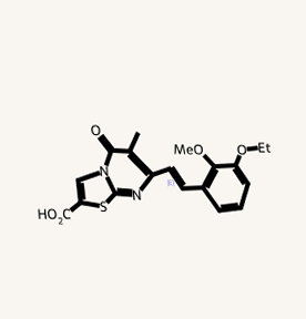 CCOc1cccc(/C=C/c2nc3sc(C(=O)O)cn3c(=O)c2C)c1OC